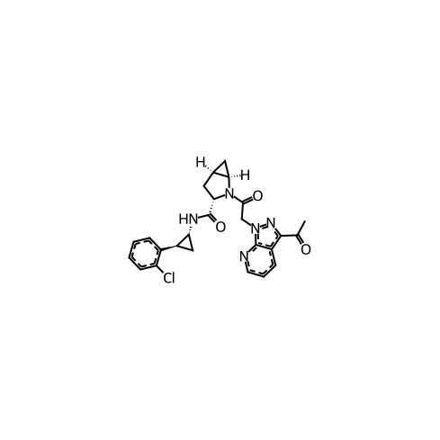 CC(=O)c1nn(CC(=O)N2[C@@H]3C[C@@H]3C[C@H]2C(=O)N[C@@H]2C[C@H]2c2ccccc2Cl)c2ncccc12